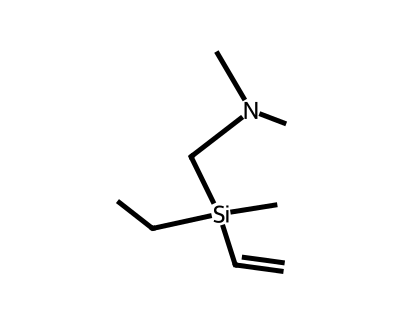 C=C[Si](C)(CC)CN(C)C